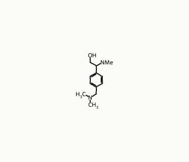 CNC(CO)c1ccc(CN(C)C)cc1